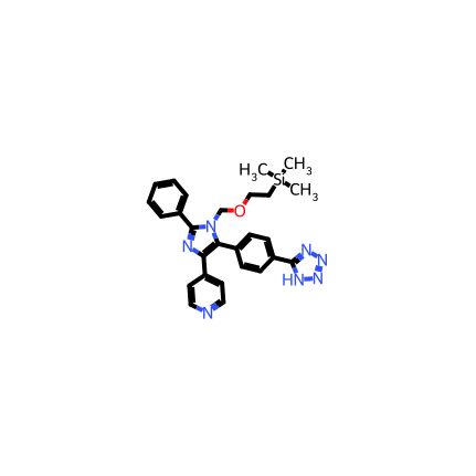 C[Si](C)(C)CCOCn1c(-c2ccccc2)nc(-c2ccncc2)c1-c1ccc(-c2nnn[nH]2)cc1